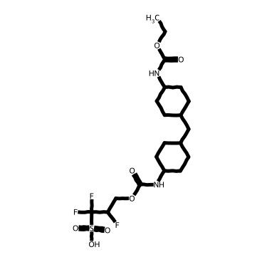 CCOC(=O)NC1CCC(CC2CCC(NC(=O)OCC(F)C(F)(F)S(=O)(=O)O)CC2)CC1